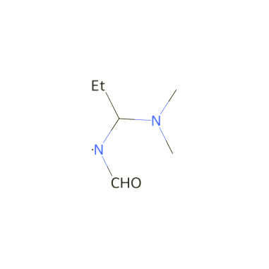 CCC([N]C=O)N(C)C